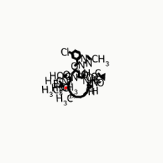 Cc1cn2c(n1)nc(O[C@@H]1C[C@H]3C(=O)N[C@]4(C(=O)NS(=O)(=O)C5(C)CC5)C[C@H]4C=CCC[C@H](C)C[C@@H](C)[C@H](N(C(=O)O)C(C)(C)C(C)(F)F)C(=O)N3C1)c1cc(Cl)ccc12